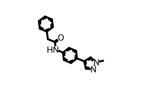 Cn1cc(-c2ccc(NC(=O)Cc3ccccc3)cc2)cn1